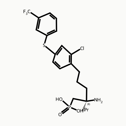 CCC[C@@](N)(CCCc1ccc(Sc2cccc(C(F)(F)F)c2)cc1Cl)CP(=O)(O)O